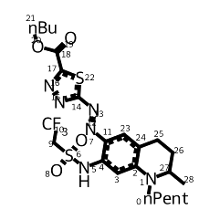 CCCCCN1c2cc(NS(=O)(=O)CC(F)(F)F)c(N=Nc3nnc(C(=O)OCCCC)s3)cc2CCC1C